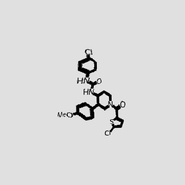 COc1ccc(C2CN(C(=O)c3ccc(Cl)s3)CCC2NC(=O)Nc2ccc(Cl)cc2)cc1